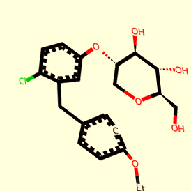 CCOc1ccc(Cc2cc(O[C@H]3CO[C@H](CO)[C@@H](O)[C@@H]3O)ccc2Cl)cc1